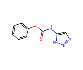 O=C(Nc1cnn[nH]1)Oc1ccccc1